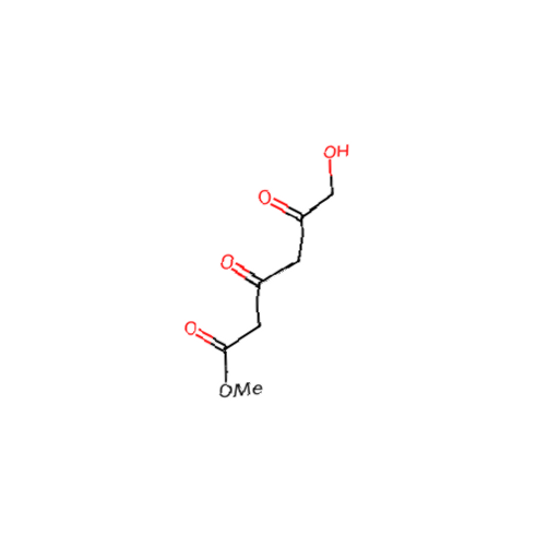 COC(=O)CC(=O)CC(=O)CO